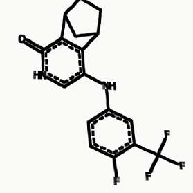 O=c1[nH]cc(Nc2ccc(F)c(C(F)(F)F)c2)c2c1C1CCC2C1